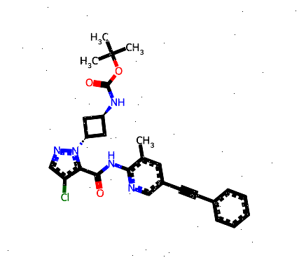 Cc1cc(C#Cc2ccccc2)cnc1NC(=O)c1c(Cl)cnn1[C@H]1C[C@H](NC(=O)OC(C)(C)C)C1